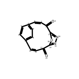 O=C1C=Cc2ccc(cc2)C=CC(=O)c2nnc1o2